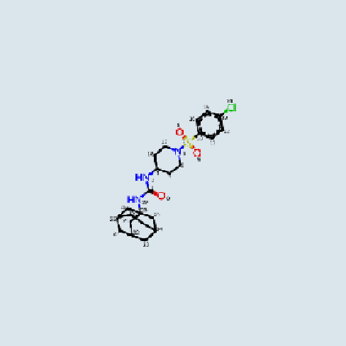 O=C(NC1CCN(S(=O)(=O)c2ccc(Cl)cc2)CC1)NC12CC3CC(CC(C3)C1)C2